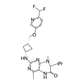 Cc1nc(N[C@H]2C[C@@H](COc3ccc(C(F)F)nc3)C2)nc2c1NC(=O)C(C(C)C)N2C